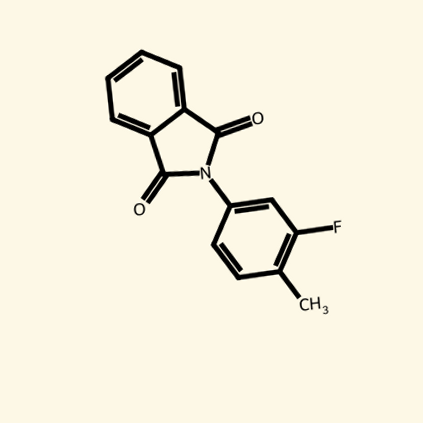 Cc1ccc(N2C(=O)c3ccccc3C2=O)cc1F